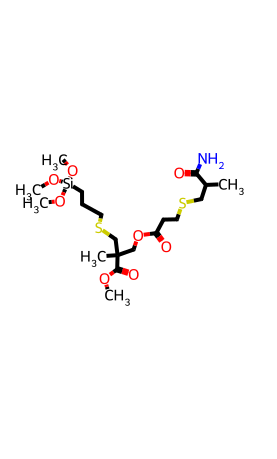 COC(=O)C(C)(COC(=O)CCSCC(C)C(N)=O)CSCCC[Si](OC)(OC)OC